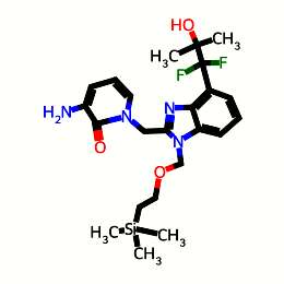 CC(C)(O)C(F)(F)c1cccc2c1nc(Cn1cccc(N)c1=O)n2COCC[Si](C)(C)C